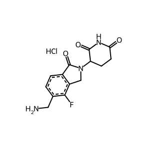 Cl.NCc1ccc2c(c1F)CN(C1CCC(=O)NC1=O)C2=O